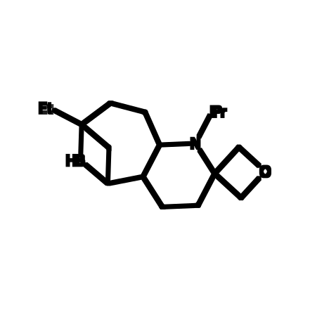 CCC12BC(C1)C1CCC3(COC3)N(C(C)C)C1CC2